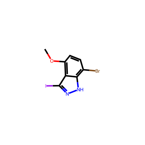 COc1ccc(Br)c2[nH]nc(I)c12